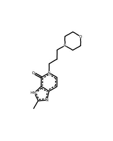 Cc1nc2ccn(CCCN3CCOCC3)c(=O)c2[nH]1